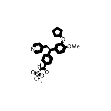 COc1ccc([C@H](Cc2ccncc2)c2ccc(C(=O)NS(=O)(=O)C(F)(F)F)cc2)cc1OC1CCCC1